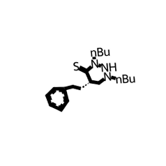 CCCCN1C[C@H](CCc2ccccc2)C(=S)N(CCCC)N1